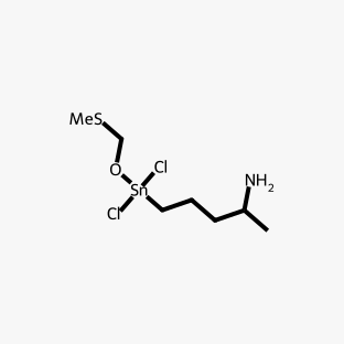 CSC[O][Sn]([Cl])([Cl])[CH2]CCC(C)N